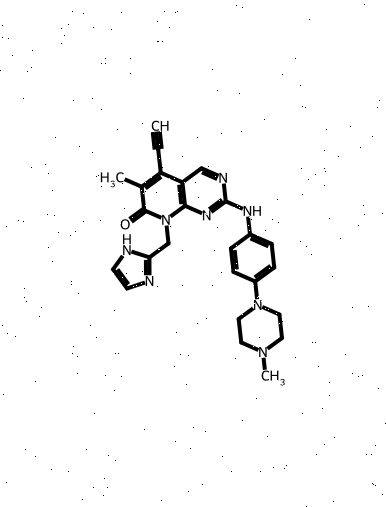 C#Cc1c(C)c(=O)n(Cc2ncc[nH]2)c2nc(Nc3ccc(N4CCN(C)CC4)cc3)ncc12